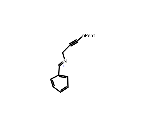 CCCCCC#CC/N=C/c1ccccc1